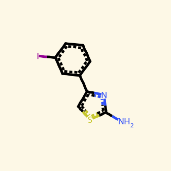 Nc1nc(-c2cccc(I)c2)cs1